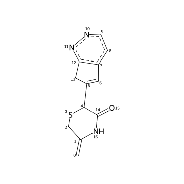 C=C1CSC(C2=Cc3ccnnc3C2)C(=O)N1